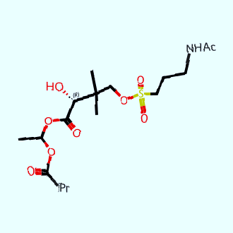 CC(=O)NCCCS(=O)(=O)OCC(C)(C)[C@@H](O)C(=O)OC(C)OC(=O)C(C)C